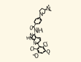 COc1cc(OC)c(Cl)c(-c2ccc3c(NC(=O)c4ccc(N5CCC(N(C)C)C5)cc4)n[nH]c3n2)c1Cl